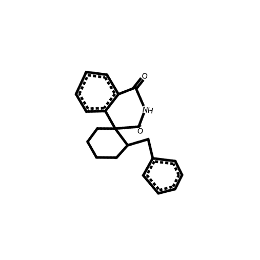 O=C1NC(=O)C2(CCCCC2Cc2ccccc2)c2ccccc21